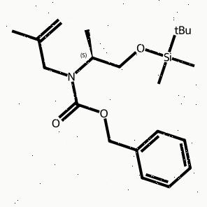 C=C(C)CN(C(=O)OCc1ccccc1)[C@@H](C)CO[Si](C)(C)C(C)(C)C